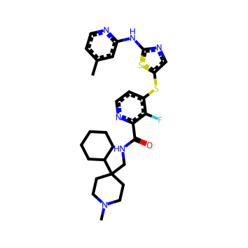 Cc1ccnc(Nc2ncc(Sc3ccnc(C(=O)NCC4(C5CCCCC5)CCN(C)CC4)c3F)s2)c1